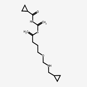 C=C(CCCOCNCC1CC1)SC(=C)NC(=O)C1CC1